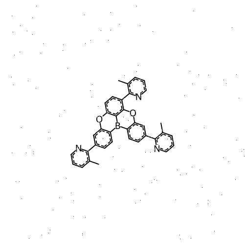 Cc1cccnc1-c1ccc2c(c1)Oc1ccc(-c3ncccc3C)c3c1B2c1ccc(-c2ncccc2C)cc1O3